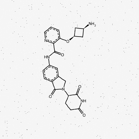 N[C@H]1C[C@@H](Oc2cccnc2C(=O)Nc2ccc3c(c2)CN(C2CCC(=O)NC2=O)C3=O)C1